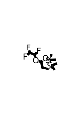 C[Si]1(C)CCC(OC(F)C(F)F)O[Si]1(C)C